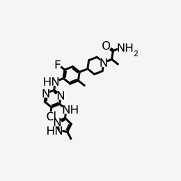 Cc1cc(Nc2nc(Nc3cc(C)c(C4CCN(C(C)C(N)=O)CC4)cc3F)ncc2Cl)n[nH]1